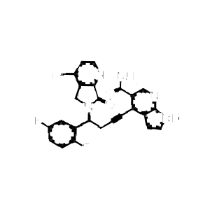 NC(=O)c1cnc2[nH]ccc2c1C#CCC(c1cc(F)ccc1F)N1Cc2c(Cl)ccnc2C1=O